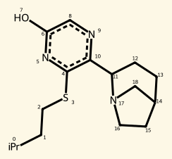 CC(C)CCSc1nc(O)cnc1C1CCC2CCN1C2